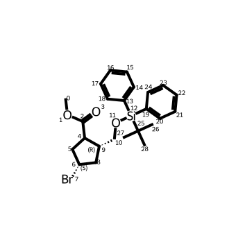 COC(=O)C1C[C@@H](Br)C[C@H]1CO[Si](c1ccccc1)(c1ccccc1)C(C)(C)C